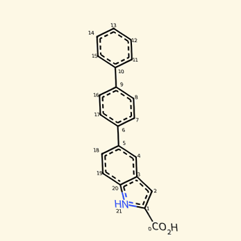 O=C(O)c1cc2cc(-c3ccc(-c4ccccc4)cc3)ccc2[nH]1